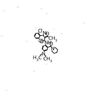 CCN(CC)c1ccc(NC(=O)c2c(-c3c(Cl)cccc3Cl)noc2C)c(C(=O)N2CCCCC2)c1